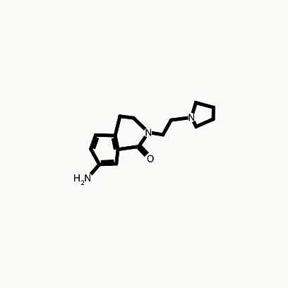 Nc1ccc2c(c1)C(=O)N(CCN1CCCC1)CC2